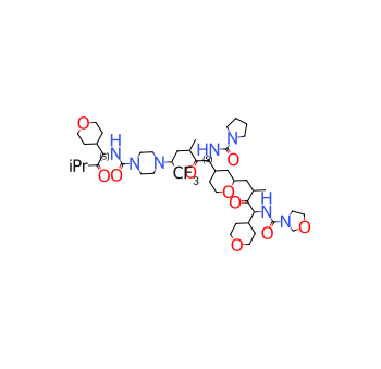 CC(C)C(=O)[C@@H](NC(=O)N1CCN(C(CC(C)C(=O)[C@@H](NC(=O)N2CCCC2)C2CCOC(CC(C)C(=O)C(NC(=O)N3CCOC3)C3CCOCC3)C2)C(F)(F)F)CC1)C1CCOCC1